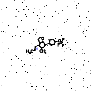 C/C=C/c1c(C)cc(-c2ccc(OC(F)(F)F)cc2)c2c1CCO2